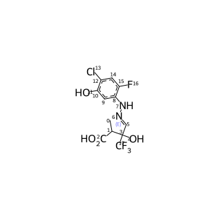 CC(C(=O)O)C(O)(/C=N/Nc1cc(O)c(Cl)cc1F)C(F)(F)F